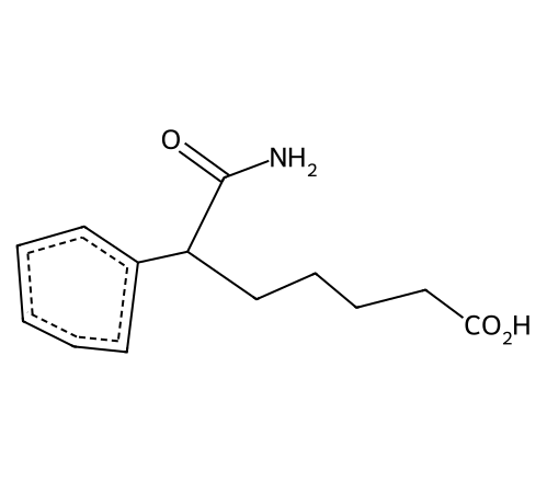 NC(=O)C(CCCCC(=O)O)c1ccccc1